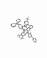 Cc1cc2c3c(c1)N(c1ccc(C(C)(C)C)cc1-c1ccccc1)c1cc(N(c4ccccc4)c4ccccc4)ccc1B3c1cc3c(cc1N2c1ccc(-c2ccccc2)cc1C)C(C)(C)CC3(C)C